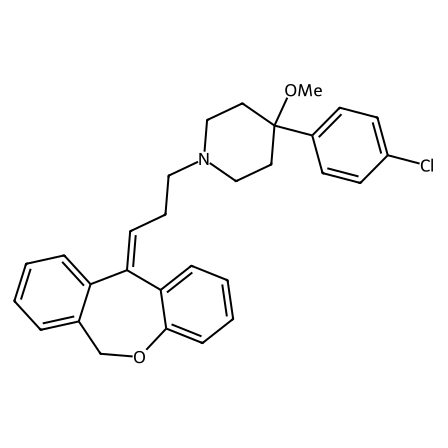 COC1(c2ccc(Cl)cc2)CCN(CC/C=C2/c3ccccc3COc3ccccc32)CC1